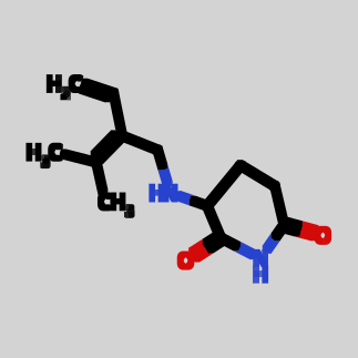 C=CC(CNC1CCC(=O)NC1=O)=C(C)C